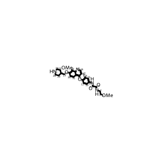 COCCNC(=O)C(=O)Nc1ccc(Oc2ccnc3c(OC)c(OCC4CCNCC4)ccc23)c(F)c1